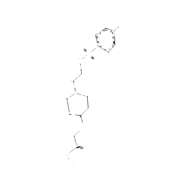 O=C(COC1CCC(CCNS(=O)(=O)c2ccc(Cl)cc2)CC1)NO